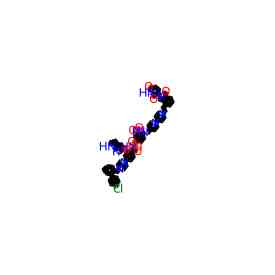 CC1(C)CCC(CN2CCN(c3ccc(C(=O)NS(=O)(=O)c4ccc(NCC5CCN(C6CCN(CCc7cccc8c7CN(C7CCC(=O)NC7=O)C8=O)CC6)CC5)c([N+](=O)[O-])c4)c(Oc4cnc5[nH]ccc5c4)c3)CC2)=C(c2ccc(Cl)cc2)C1